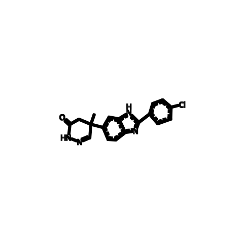 CC1(c2ccc3nc(-c4ccc(Cl)cc4)[nH]c3c2)C=NNC(=O)C1